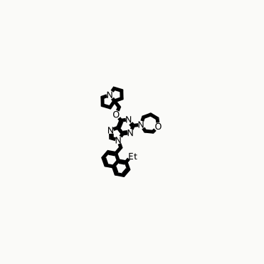 CCc1cccc2cccc(Cn3cnc4c(OCC56CCCN5CCC6)nc(N5CCCOCC5)nc43)c12